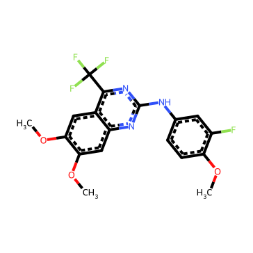 COc1ccc(Nc2nc(C(F)(F)F)c3cc(OC)c(OC)cc3n2)cc1F